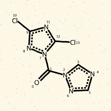 O=C(n1cncn1)n1nc(Cl)nc1Cl